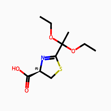 CCOC(C)(OCC)C1=N[C@H](C(=O)O)CS1